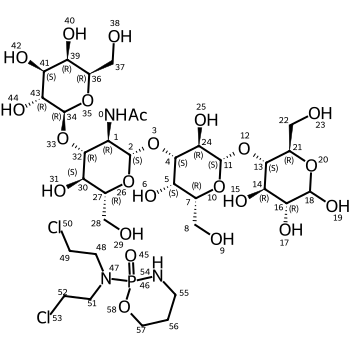 CC(=O)N[C@H]1[C@H](O[C@H]2[C@@H](O)[C@@H](CO)O[C@@H](O[C@H]3[C@H](O)[C@@H](O)C(O)O[C@@H]3CO)[C@@H]2O)O[C@H](CO)[C@@H](O)[C@@H]1O[C@@H]1O[C@H](CO)[C@H](O)[C@H](O)[C@H]1O.O=P1(N(CCCl)CCCl)NCCCO1